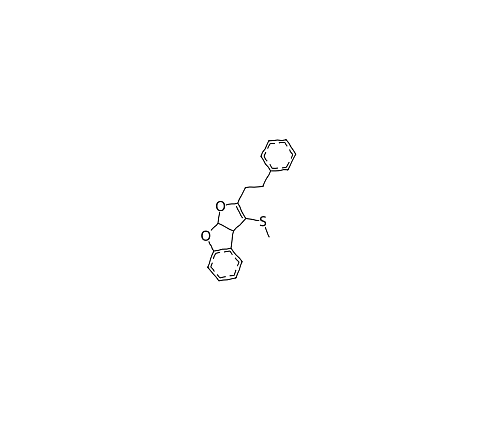 CSC1=C(CCc2ccccc2)OC2Oc3ccccc3C12